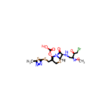 CO/N=C(/CN[C@@H]1C(=O)N2C(OC(=O)O)=C(CSc3nnc(C)s3)CS[C@H]12)C(=O)CBr